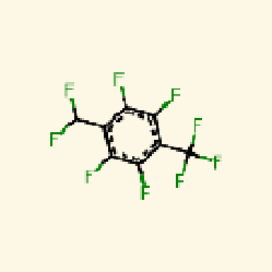 Fc1c(F)c(C(F)(F)F)c(F)c(F)c1C(F)F